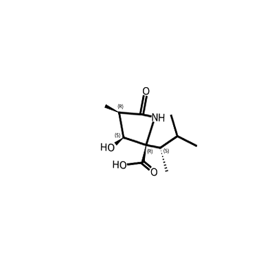 CC(C)[C@H](C)[C@@]1(C(=O)O)NC(=O)[C@H](C)[C@@H]1O